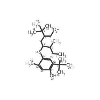 CCC(C)C(CC(CO)C(C)(C)C)Sc1cc(C(C)(C)C)c(O)cc1C